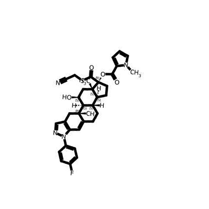 Cn1cccc1C(=O)O[C@]1(C(=O)SCC#N)CC[C@H]2[C@@H]3CCC4=Cc5c(cnn5-c5ccc(F)cc5)C[C@]4(C)[C@H]3[C@@H](O)C[C@@]21C